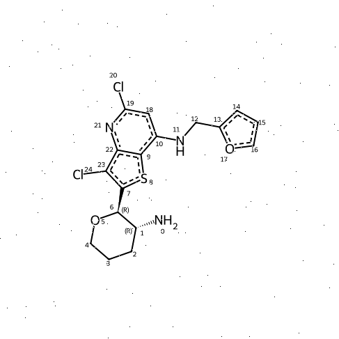 N[C@@H]1CCCO[C@H]1c1sc2c(NCc3ccco3)cc(Cl)nc2c1Cl